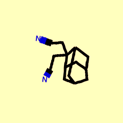 N#CCC1(CC#N)C2CC3CC(C2)CC1C3